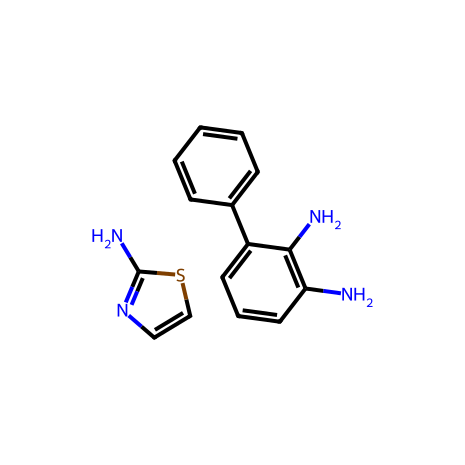 Nc1cccc(-c2ccccc2)c1N.Nc1nccs1